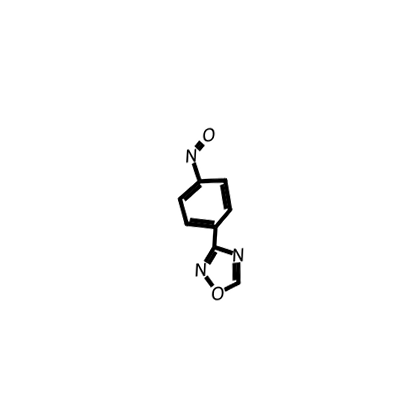 O=Nc1ccc(-c2ncon2)cc1